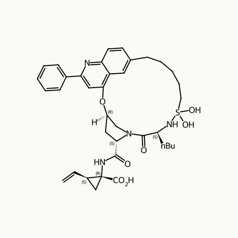 C=C[C@@H]1C[C@]1(NC(=O)[C@@H]1C[C@@H]2CN1C(=O)[C@H](CCCC)NS(O)(O)CCCCCc1ccc3nc(-c4ccccc4)cc(c3c1)O2)C(=O)O